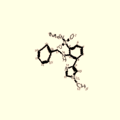 CNS(=O)(=O)c1cccc(-c2cn(C)cn2)c1NCc1ccccc1